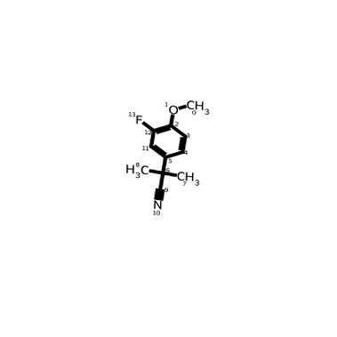 COc1ccc(C(C)(C)C#N)cc1F